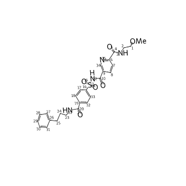 COCCNC(=O)c1ccc(C(=O)NS(=O)(=O)c2ccc(C(=O)NCCCc3ccccc3)cc2)cn1